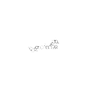 COc1ncc(C(=O)N2CCC(Oc3c(F)ccc4c3n(C)c(=O)n4C3CCC(=O)NC3=O)CC2)cc1-c1nc2c(n1C(C)C)[C@H](c1ccc(Cl)cc1)N(c1cc(Cl)cn(C)c1=O)C2=O